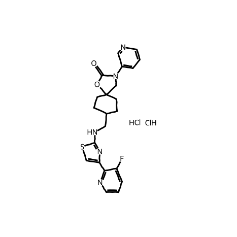 Cl.Cl.O=C1OC2(CCC(CNc3nc(-c4ncccc4F)cs3)CC2)CN1c1cccnc1